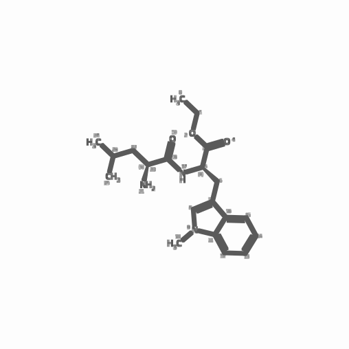 CCOC(=O)[C@@H](Cc1cn(C)c2ccccc12)NC(=O)[C@@H](N)CC(C)C